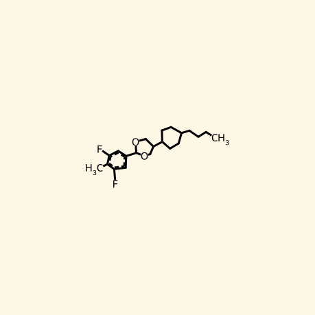 CCCCC1CCC(C2COC(c3cc(F)c(C)c(F)c3)OC2)CC1